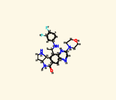 CC(Nc1ccc(F)c(F)c1)c1cc(C(=O)N(C)C2CCNC2)cc2ncc(N3CCOCC3)nc12